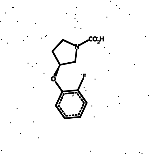 O=C(O)N1CC[C@H](Oc2ccccc2F)C1